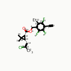 C#Cc1c(F)c(F)c(COC(=O)[C@@H]2[C@H](/C=C(\Cl)C(F)(F)F)C2(C)C)c(CC)c1F